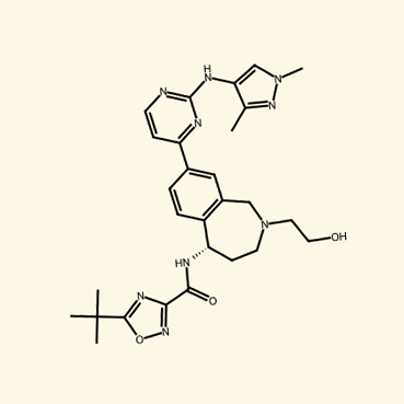 Cc1nn(C)cc1Nc1nccc(-c2ccc3c(c2)CN(CCO)CC[C@@H]3NC(=O)c2noc(C(C)(C)C)n2)n1